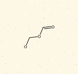 [O]CO[C]=O